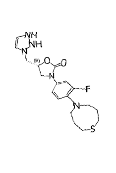 O=C1O[C@@H](CN2C=CNN2)CN1c1ccc(N2CCCSCCC2)c(F)c1